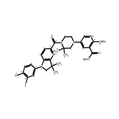 COC(=O)c1cc(N2CCN(C(=O)c3ccc4c(n3)C(C)(C)CN4c3ccc(Cl)c(F)c3)C(C)(C)C2)cnc1OC